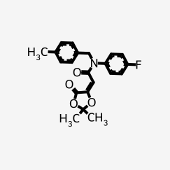 Cc1ccc(CN(C(=O)C=C2OC(C)(C)OC2=O)c2ccc(F)cc2)cc1